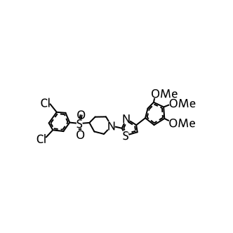 COc1cc(-c2csc(N3CCC(S(=O)(=O)c4cc(Cl)cc(Cl)c4)CC3)n2)cc(OC)c1OC